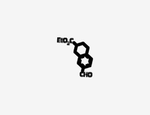 CCOC(=O)C1CCc2ccc(C=O)cc2C1